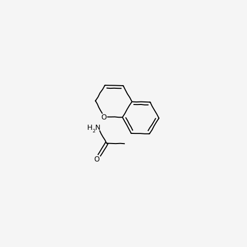 C1=Cc2ccccc2OC1.CC(N)=O